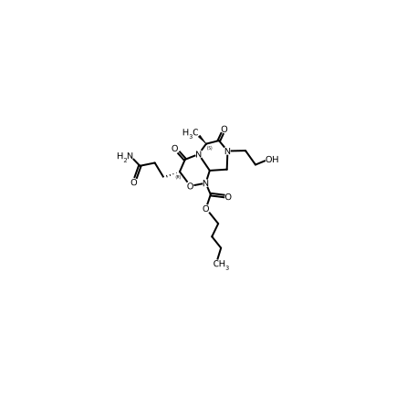 CCCCOC(=O)N1O[C@H](CCC(N)=O)C(=O)N2C1CN(CCO)C(=O)[C@@H]2C